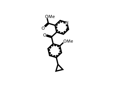 COC(=O)c1cnccc1C(=O)c1ccc(C2CC2)cc1OC